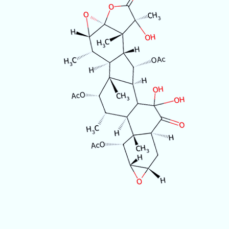 CC(=O)O[C@H]1[C@@H]2[C@H]([C@H](C)[C@@H]3O[C@@]34OC(=O)[C@@](C)(O)[C@]24C)[C@]2(C)[C@@H]1C1[C@H]([C@H](C)[C@@H]2OC(C)=O)[C@]2(C)[C@H](C[C@@H]3O[C@@H]3[C@@H]2OC(C)=O)C(=O)C1(O)O